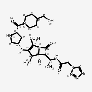 C[C@@H](NC(=O)Cn1cnnn1)[C@H]1C(=O)N2C(C(=O)O)=C(S[C@@H]3CN[C@H](C(=O)N4CCC(CO)CC4)C3)[C@H](C)[C@H]12